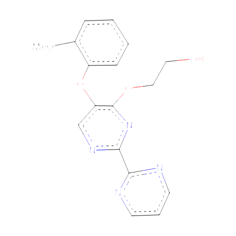 COc1ccccc1Oc1[c]nc(-c2ncccn2)nc1OCCO